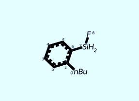 CCCCc1ccccc1[SiH2]F